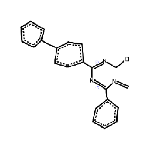 C=N/C(=N\C(=N/CCl)c1ccc(-c2ccccc2)cc1)c1ccccc1